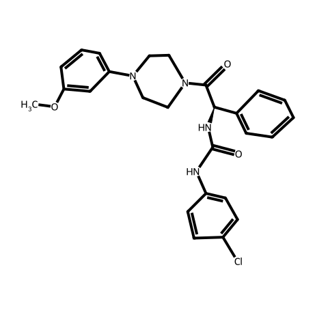 COc1cccc(N2CCN(C(=O)[C@H](NC(=O)Nc3ccc(Cl)cc3)c3ccccc3)CC2)c1